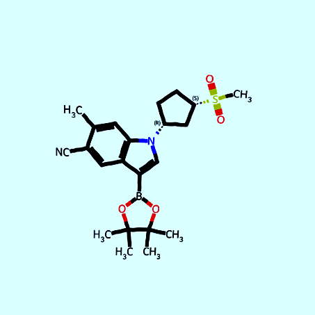 Cc1cc2c(cc1C#N)c(B1OC(C)(C)C(C)(C)O1)cn2[C@@H]1CC[C@H](S(C)(=O)=O)C1